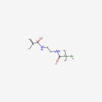 C=C(C)C(=O)NCCNC(=O)C(C)(C)Br